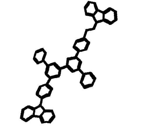 c1ccc(-c2cc(-c3ccc(CCC4c5ccccc5-c5ccccc54)cc3)cc(-c3cc(-c4ccccc4)cc(-c4ccc(-n5c6ccccc6c6ccccc65)cc4)c3)c2)cc1